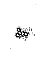 Cc1ccc2nc(-c3ccccc3C(=O)O)c(-c3ccccc3)c(C(=O)O)c2c1